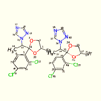 CCC1COC(c2ccc(Cl)cc2Cl)(C(C)n2cncn2)O1.CCCC1COC(c2ccc(Cl)cc2Cl)(C(C)n2cncn2)O1